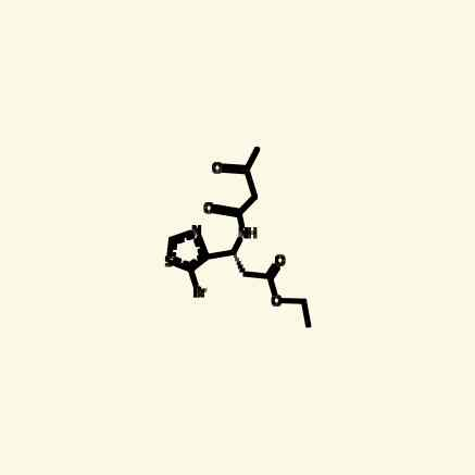 CCOC(=O)C[C@@H](NC(=O)CC(C)=O)c1ncsc1Br